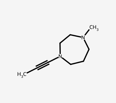 CC#CN1CCCN(C)CC1